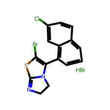 Br.Clc1ccc2cccc(C3=C(Br)SC4=NCCN43)c2c1